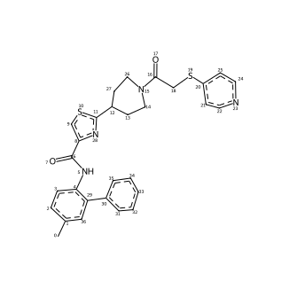 Cc1ccc(NC(=O)c2csc(C3CCN(C(=O)CSc4ccncc4)CC3)n2)c(-c2ccccc2)c1